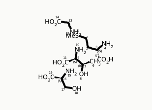 CSCC[C@H](N)C(=O)O.C[C@@H](O)[C@H](N)C(=O)O.NCC(=O)O.N[C@@H](CO)C(=O)O